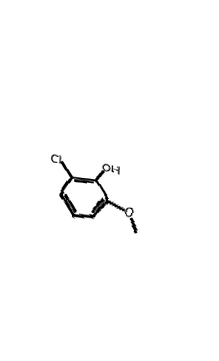 COc1cccc(Cl)c1O